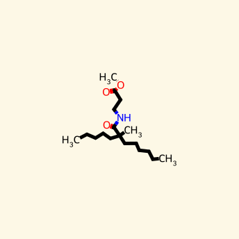 CCCCCCC(C)(CCCCC)C(=O)NCCC(=O)OC